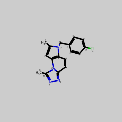 Cc1cc2c(ccc3nnc(C)n32)n1Cc1ccc(Cl)cc1